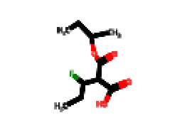 CCC(C)OC(=O)C(C(=O)O)C(F)CC